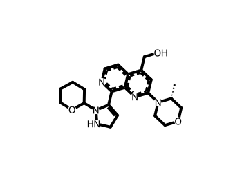 C[C@@H]1COCCN1c1cc(CO)c2ccnc(C3=CCNN3C3CCCCO3)c2n1